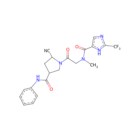 CN(CC(=O)N1CC(C(=O)Nc2ccccc2)CC1C#N)C(=O)c1cnc(C(F)(F)F)[nH]1